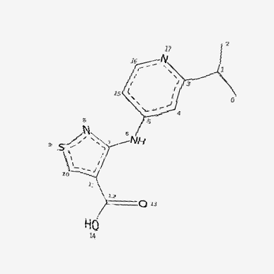 CC(C)c1cc(Nc2nscc2C(=O)O)ccn1